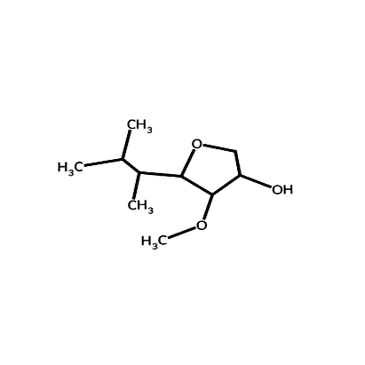 COC1C(O)COC1C(C)C(C)C